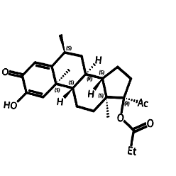 CCC(=O)O[C@]1(C(C)=O)CC[C@H]2[C@@H]3C[C@H](C)C4=CC(=O)C(O)=C[C@]4(C)[C@H]3CC[C@@]21C